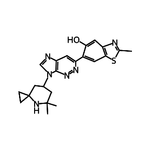 Cc1nc2cc(O)c(-c3cc4ncn(C5CC(C)(C)NC6(CC6)C5)c4nn3)cc2s1